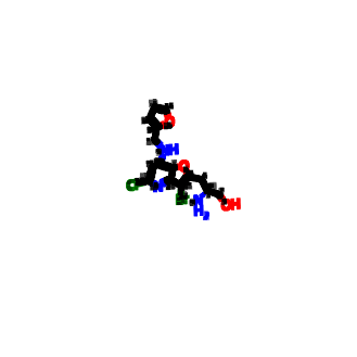 N[C@@H](CO)Cc1oc2c(NCc3ccco3)cc(Cl)nc2c1Br